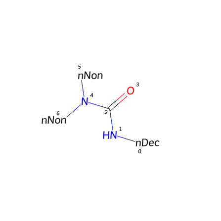 CCCCCCCCCCNC(=O)N(CCCCCCCCC)CCCCCCCCC